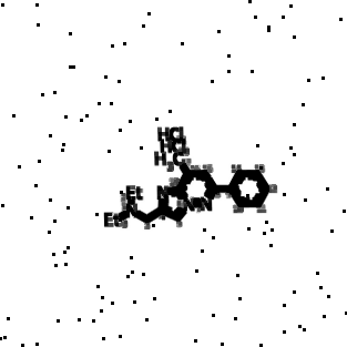 CCN(CC)Cc1cn2nc(-c3ccccc3)cc(C)c2n1.Cl.Cl